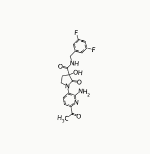 CC(=O)c1ccc(N2CCC(O)(C(=O)NCc3cc(F)cc(F)c3)C2=O)c(N)n1